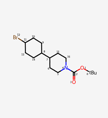 CC(C)(C)OC(=O)N1CCC(C2CCC(Br)CC2)CC1